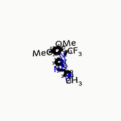 COc1cc(OC)cc(N(CC(C)C(F)(F)F)c2ccc3ncc(-c4cnn(C)c4)nc3n2)c1